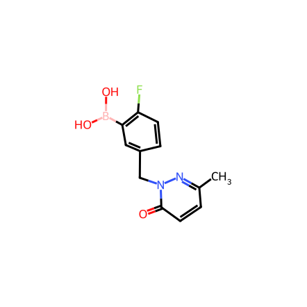 Cc1ccc(=O)n(Cc2ccc(F)c(B(O)O)c2)n1